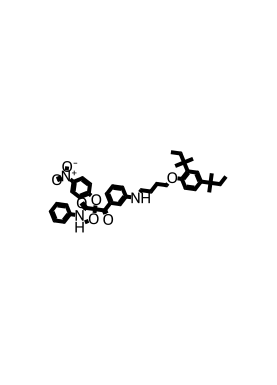 CCC(C)(C)c1ccc(OCCCCNc2cccc(C(=O)C(OC)(Oc3ccc([N+](=O)[O-])cc3)C(=O)Nc3ccccc3)c2)c(C(C)(C)CC)c1